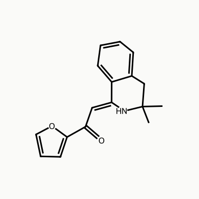 CC1(C)Cc2ccccc2C(=CC(=O)c2ccco2)N1